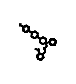 COc1ccccc1COCC1(c2ccccc2)CCC(N2CCC(c3ccc(F)cc3)CC2)CC1